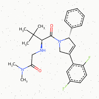 CN(C)C(=O)CN[C@H](C(=O)N1CC(c2cc(F)ccc2F)=C[C@H]1c1ccccc1)C(C)(C)C